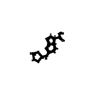 CC(C)(C)C(=O)n1ncc2cc(NC3CCNC3)ccc21